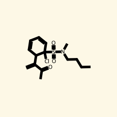 C=C(C(C)=O)C1C=CC=CC1(Cl)S(=O)(=O)N(C)CCCC